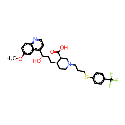 COc1ccc2nccc([C@@H](O)CC[C@@H]3CCN(CCCSc4ccc(C(F)(F)F)cc4)C[C@@H]3C(=O)O)c2c1